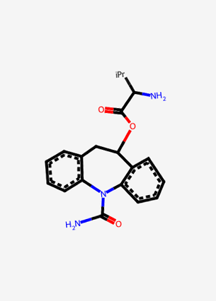 CC(C)C(N)C(=O)OC1Cc2ccccc2N(C(N)=O)c2ccccc21